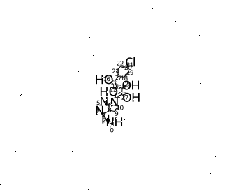 CN/N=c1/nc[nH]c2c1ccn2C1O[C@H]([C@H](O)c2ccc(Cl)cc2)[C@@H](O)[C@H]1O